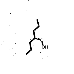 CCCC(CCC)OO